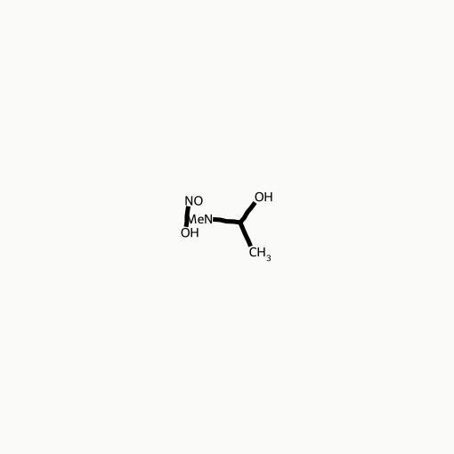 CNC(C)O.O=NO